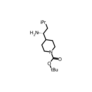 CC(C)C[C@@H](N)C1CCN(C(=O)OC(C)(C)C)CC1